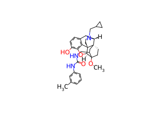 COC12CC[C@@]3(C[C@@H]1CNC(=O)Nc1cccc(C)c1)[C@H]1Cc4ccc(O)c5c4[C@@]3(CCN1CC1CC1)C2O5